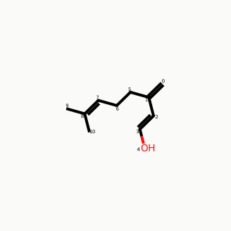 C=C(C=CO)CCC=C(C)C